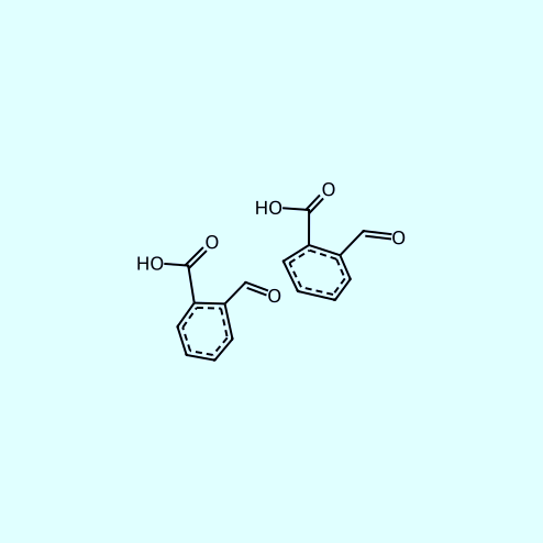 O=Cc1ccccc1C(=O)O.O=Cc1ccccc1C(=O)O